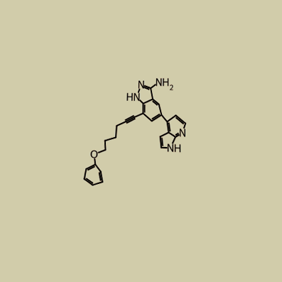 Nc1n[nH]c2c(C#CCCCCOc3ccccc3)cc(-c3ccnc4[nH]ccc34)cc12